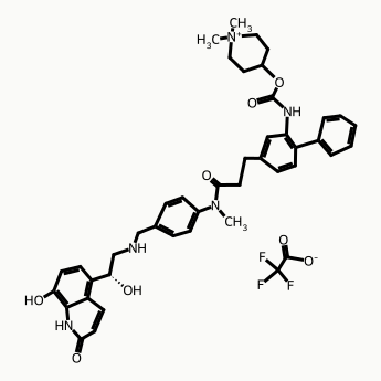 CN(C(=O)CCc1ccc(-c2ccccc2)c(NC(=O)OC2CC[N+](C)(C)CC2)c1)c1ccc(CNC[C@H](O)c2ccc(O)c3[nH]c(=O)ccc23)cc1.O=C([O-])C(F)(F)F